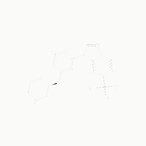 CC(O)(c1cn2c(-c3cc(F)cc(N[C@@H]4CCCNC4)n3)cnc2cn1)C(F)(F)F